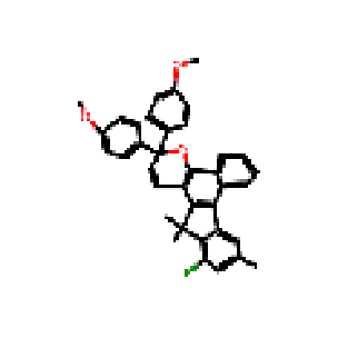 COc1ccc(C2(c3ccc(OC)cc3)C=Cc3c4c(c5ccccc5c3O2)-c2cc(C)cc(F)c2C4(C)C)cc1